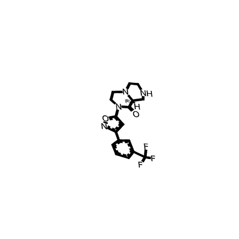 O=C1[C@H]2CNCCN2CCN1c1cc(-c2cccc(C(F)(F)F)c2)no1